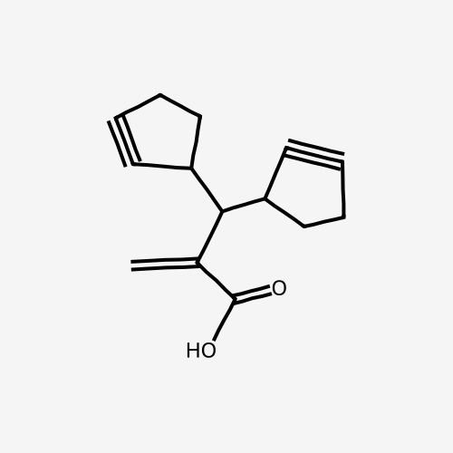 C=C(C(=O)O)C(C1C#CCC1)C1C#CCC1